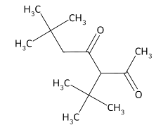 CC(=O)C(C(=O)CC(C)(C)C)C(C)(C)C